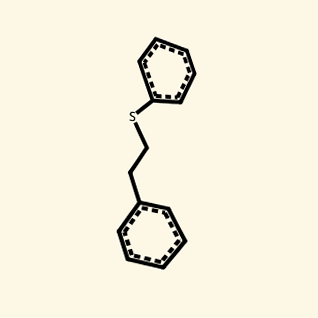 c1ccc(CCSc2ccccc2)cc1